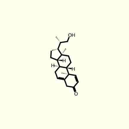 C[C@H](CO)[C@H]1CC[C@H]2[C@@H]3CC=C4CC(=O)C=C[C@]4(C)[C@H]3CC[C@]12C